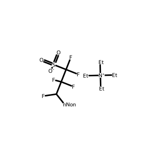 CCCCCCCCCC(F)C(F)(F)C(F)(F)S(=O)(=O)[O-].CC[N+](CC)(CC)CC